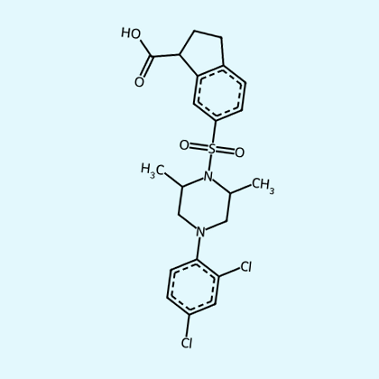 CC1CN(c2ccc(Cl)cc2Cl)CC(C)N1S(=O)(=O)c1ccc2c(c1)C(C(=O)O)CC2